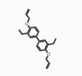 C=CCOc1ccc(-c2ccc(OCC=C)c(CC)c2)cc1CC